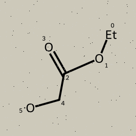 CCOC(=O)C[O]